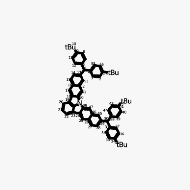 CC(C)(C)c1ccc(C(c2ccc(C(C)(C)C)cc2)c2ccc3cc4c5cccc6c7cc8ccc(C(c9ccc(C(C)(C)C)cc9)c9ccc(C(C)(C)C)cc9)cc8cc7n(c4cc3c2)c56)cc1